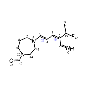 N=C/C(=C\C=C\N1CCCN(C=O)CC1)C(F)F